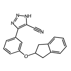 N#Cc1[nH]nnc1-c1cccc(OC2Cc3ccccc3C2)c1